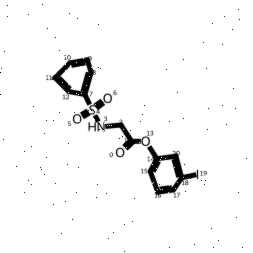 O=C(CNS(=O)(=O)c1ccccc1)Oc1cccc(I)c1